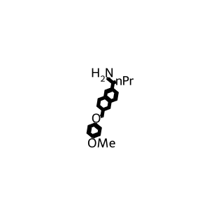 CCCC(CN)c1ccc2c(c1)CCC(COc1ccc(OC)cc1)C2